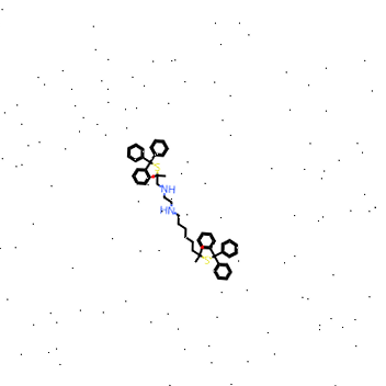 CC(C)(CCCCCCNCCNCC(C)(C)SC(c1ccccc1)(c1ccccc1)c1ccccc1)SC(c1ccccc1)(c1ccccc1)c1ccccc1